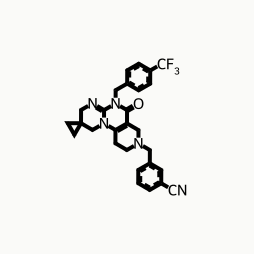 N#Cc1cccc(CN2CCC3=C(C2)C(=O)N(Cc2ccc(C(F)(F)F)cc2)C2=NCC4(CC4)CN23)c1